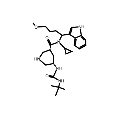 COCCCC(c1c[nH]c2ccccc12)N(C(=O)[C@@H]1CNC[C@H](NC(=O)NC(C)(C)C)C1)C1CC1